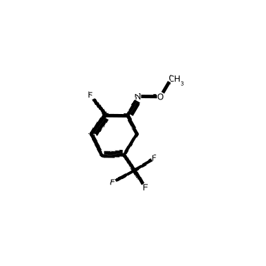 CON=C1CC(C(F)(F)F)=C[C]=C1F